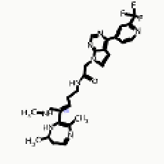 CNC/C(=C\CCNC(=O)Cn1ccc2c(-c3ccnc(C(F)(F)F)c3)ncnc21)C1=C(C)N=CCC(C)N1